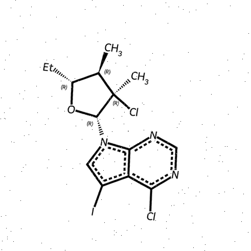 CC[C@H]1O[C@@H](n2cc(I)c3c(Cl)ncnc32)[C@](C)(Cl)[C@@H]1C